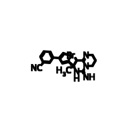 C[C@]1(c2cc(-c3cccc(C#N)c3)cs2)NC(=N)N2CCCN=C2C1Br